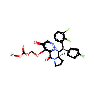 CC(C)OC(=O)OCOc1c2n(ncc1=O)[C@@H]([C@H](c1ccc(F)cc1)c1cccc(F)c1F)[C@H]1CCCN1C2=O